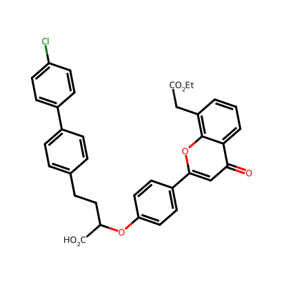 CCOC(=O)Cc1cccc2c(=O)cc(-c3ccc(OC(CCc4ccc(-c5ccc(Cl)cc5)cc4)C(=O)O)cc3)oc12